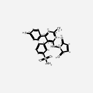 NS(=O)(=O)c1cccc(-c2c(NN3C(=O)C=CC3=O)nc(C(F)(F)F)nc2-c2ccc(F)cc2)c1